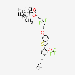 CCCCCc1ccc(-c2cc3ccc(OCCCC(F)(F)CCCOC(=O)C(C)(CC(C)C)C(C)C)cc3s2)c(OC(F)(F)F)c1